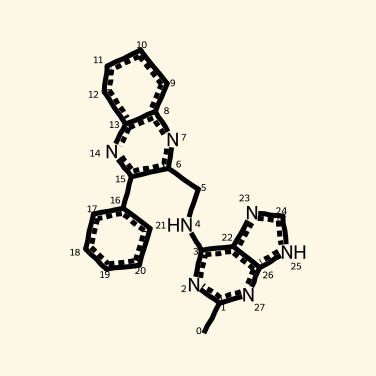 Cc1nc(NCc2nc3ccccc3nc2-c2ccccc2)c2nc[nH]c2n1